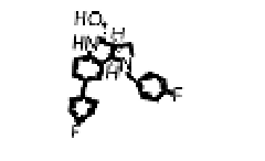 OC[C@H]1Nc2ccc(-c3ccc(F)cc3)cc2[C@H]2[C@@H]1CCN2Cc1ccc(F)cc1